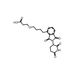 O=C(O)CCOCCCCc1cccc2c1C(=O)N(C1CCC(=O)NC1=O)C2=O